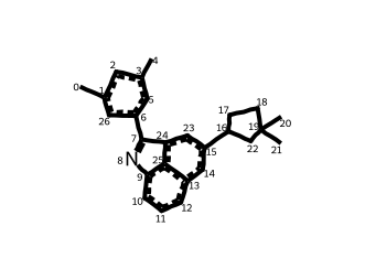 Cc1cc(C)cc(C2=Nc3cccc4cc(C5CCC(C)(C)C5)cc2c34)c1